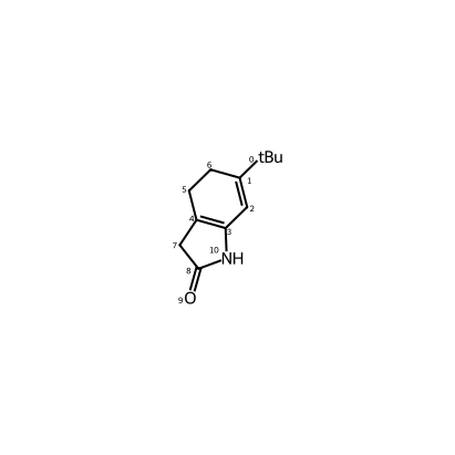 CC(C)(C)C1=CC2=C(CC1)CC(=O)N2